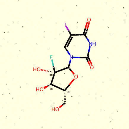 O=c1[nH]c(=O)n(C2O[C@H](CO)[C@@H](O)[C@@]2(O)F)cc1I